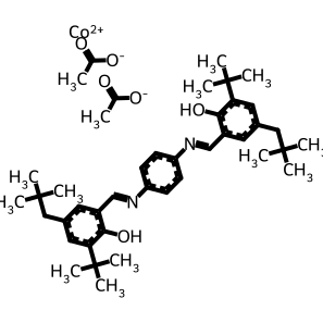 CC(=O)[O-].CC(=O)[O-].CC(C)(C)Cc1cc(C=Nc2ccc(N=Cc3cc(CC(C)(C)C)cc(C(C)(C)C)c3O)cc2)c(O)c(C(C)(C)C)c1.[Co+2]